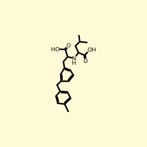 Cc1ccc(Cc2cccc(CC(NC(CC(C)C)C(=O)O)C(=O)O)c2)cc1